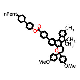 CCCCCC1CCC(c2ccc(OC(=O)c3ccc(-c4ccc5c6c(c7c(c5c4)-c4ccc(C)cc4C7(C)C)C=CC(c4ccc(OC)cc4)(c4ccc(OC)cc4)O6)cc3)cc2)CC1